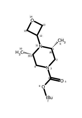 C[C@@H]1CN(C(=O)OC(C)(C)C)C[C@H](C)N1C1COC1